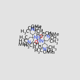 CON1C(C)(C)CC(C2(NC(=O)C(=O)NC3(C4CC(C)(C)N(OC)C(C)(C)C4)CC(C)(C)N(OC)C(C)(C)C3)CC(C)(C)N(OC)C(C)(C)C2)CC1(C)C